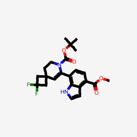 COC(=O)c1ccc(C2=CC3(CCN2C(=O)OC(C)(C)C)CC(F)(F)C3)c2[nH]ccc12